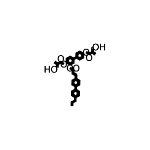 C=C(CO)C(=O)Oc1ccc(-c2ccc(OC(=O)C(=C)CO)c(OC(=O)/C=C/c3ccc(-c4ccc(CCC)cc4)cc3)c2)cc1